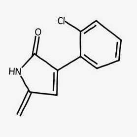 C=C1C=C(c2ccccc2Cl)C(=O)N1